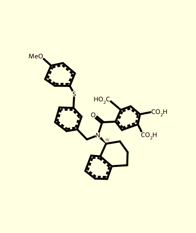 COc1ccc(Sc2cccc(CN(C(=O)c3cc(C(=O)O)c(C(=O)O)cc3C(=O)O)[C@H]3CCCc4ccccc43)c2)cc1